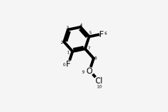 Fc1cccc(F)c1COCl